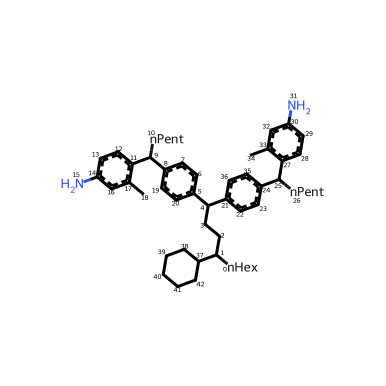 CCCCCCC(CCC(c1ccc(C(CCCCC)c2ccc(N)cc2C)cc1)c1ccc(C(CCCCC)c2ccc(N)cc2C)cc1)C1CCCCC1